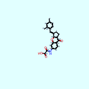 Cc1ccc(/C=C2\CCc3c2oc2cc(NC(=O)C(=O)O)ccc2c3=O)c(C)c1